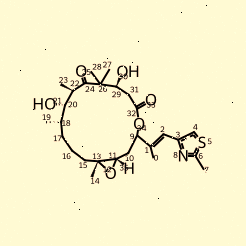 C/C(=C\c1csc(C)n1)C1C[C@@H]2O[C@]2(C)CCC[C@H](C)[C@H](O)[C@@H](C)C(=O)C(C)(C)[C@@H](O)CC(=O)O1